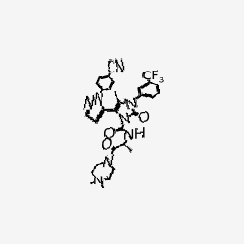 Cc1c(-c2ccnn2-c2ccc(C#N)cc2)n(C(=O)N[C@@H](C)C(=O)N2CC[N+](C)(C)CC2)c(=O)n1-c1cccc(C(F)(F)F)c1